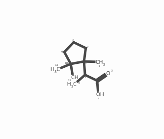 CC(C(=O)O)C1(C)CCCC1(C)C